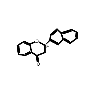 O=C1C[C@H](c2ccc3ccccc3c2)Oc2ccccc21